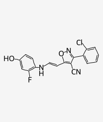 N#Cc1c(-c2ccccc2Cl)noc1C=CNc1ccc(O)cc1F